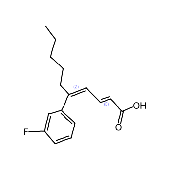 CCCCC/C(=C/C=C/C(=O)O)c1cccc(F)c1